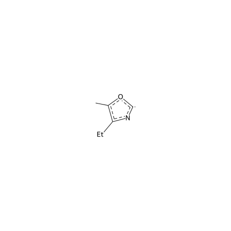 CCc1n[c]oc1C